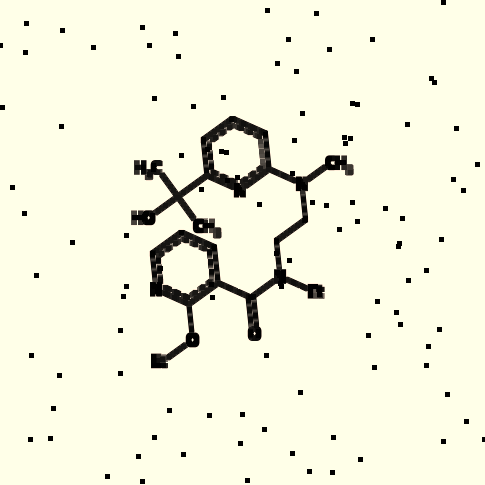 CCOc1ncccc1C(=O)N(CC)CCN(C)c1cccc(C(C)(C)O)n1